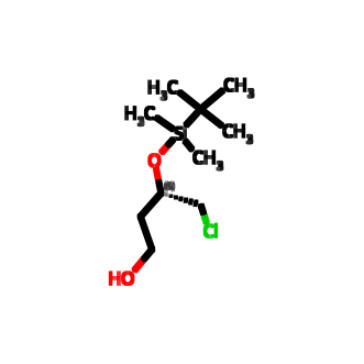 CC(C)(C)[Si](C)(C)O[C@H](CCl)CCO